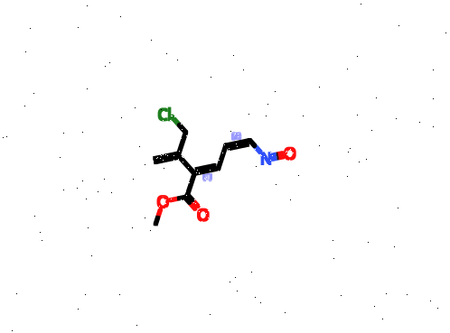 C=C(CCl)/C(=C\C=C/N=O)C(=O)OC